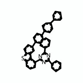 c1ccc(-c2ccc(-c3ccc(-c4ccc5sc6cccc(-c7nc(-c8ccccc8)nc(-c8ccccc8)n7)c6c5c4)cc3)cc2)cc1